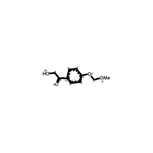 COCOc1ccc(C(=O)CO)cc1